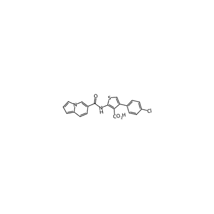 O=C(Nc1scc(-c2ccc(Cl)cc2)c1C(=O)O)c1ccc2cccn2c1